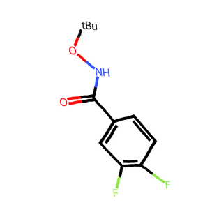 CC(C)(C)ONC(=O)c1ccc(F)c(F)c1